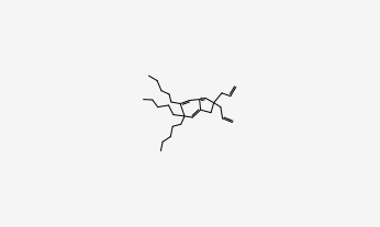 C=CCC1(CC=C)[C]=C2C=C(CCCCC)C(CCCCC)(CCCCC)C=C2C1